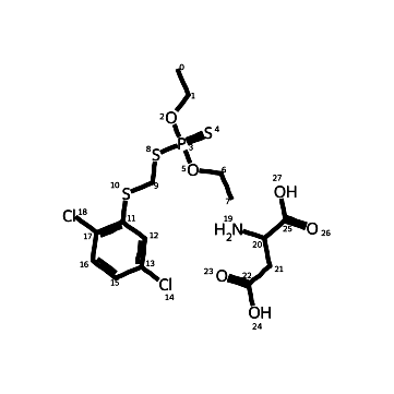 CCOP(=S)(OCC)SCSc1cc(Cl)ccc1Cl.NC(CC(=O)O)C(=O)O